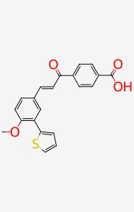 COc1ccc(C=CC(=O)c2ccc(C(=O)O)cc2)cc1-c1cccs1